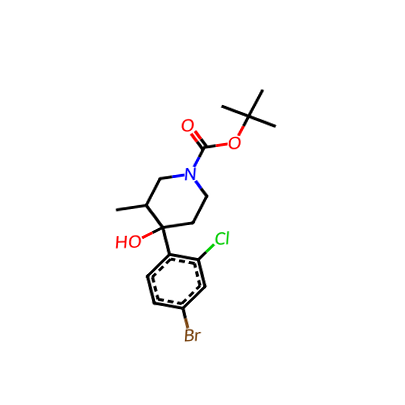 CC1CN(C(=O)OC(C)(C)C)CCC1(O)c1ccc(Br)cc1Cl